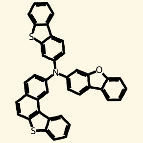 c1ccc2c(c1)oc1cc(N(c3ccc4c(c3)sc3ccccc34)c3ccc4ccc5sc6ccccc6c5c4c3)ccc12